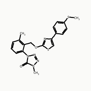 CSc1ccc(-c2csc(OCc3c(C)cccc3-n3nnn(C)c3=O)n2)cc1